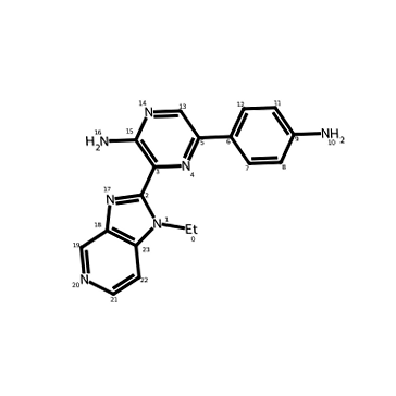 CCn1c(-c2nc(-c3ccc(N)cc3)cnc2N)nc2cnccc21